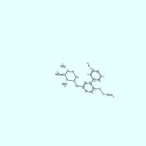 CCCc1ccc(OC2OC[C@@H](O)[C@H](O)[C@H]2O)cc1-c1cccc(F)c1